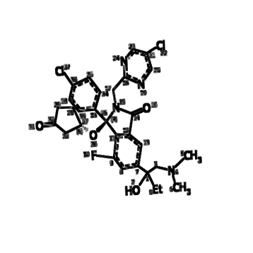 CCC(O)(CN(C)C)c1cc(F)c2c(c1)C(=O)N(Cc1ncc(Cl)cn1)[C@@]2(O[C@H]1CCC(=O)C1)c1ccc(Cl)cc1